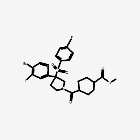 COC(=O)C1CCC(C(=O)N2CCC(c3ccc(Br)c(F)c3)(S(=O)(=O)c3ccc(F)cc3)C2)CC1